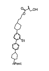 C=C(CO)C(=O)OCCCC1CCC(c2ccc(-c3ccc(C4CCC(CCCCC)CC4)cc3)c(CC)c2)CC1